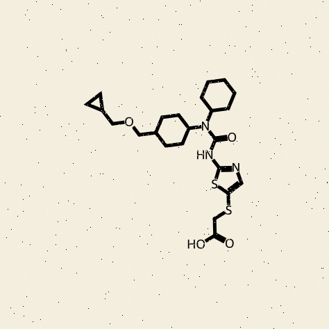 O=C(O)CSc1cnc(NC(=O)N(C2CCCCC2)C2CCC(COCC3CC3)CC2)s1